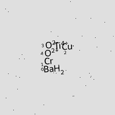 [BaH2].[Cr].[Cu].[O-2].[O-2].[Ti+4]